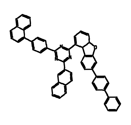 C1=CC2Oc3cc(-c4ccc(-c5ccccc5)cc4)ccc3C2C(c2nc(-c3ccc(-c4cccc5ccccc45)cc3)nc(-c3ccc4ccccc4c3)n2)=C1